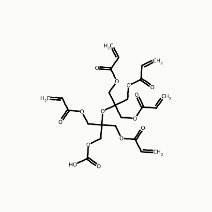 C=CC(=O)OCC(COC(=O)O)(COC(=O)C=C)OC(COC(=O)C=C)(COC(=O)C=C)COC(=O)C=C